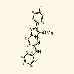 COc1c(-c2ccc(C)cc2)nc2ccc(Nc3ccccc3)nn12